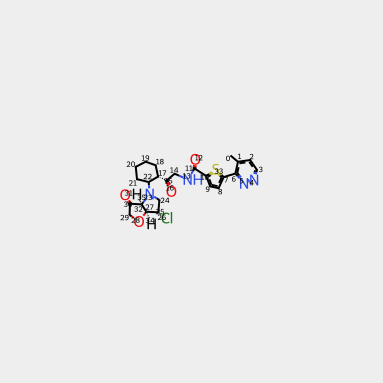 Cc1ccnnc1-c1ccc(C(=O)NCC(=O)[C@H]2CCCCC2N2C[C@H](Cl)[C@H]3OCC(=O)[C@H]32)s1